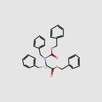 O=C(OCc1ccccc1)[C@H](Cc1ccccc1)N(Cc1ccccc1)C(=O)OCc1ccccc1